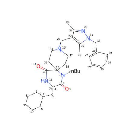 CCCCN1C(=O)[C@H](CC2CCCCC2)NC(=O)C12CCN(Cc1c(C)nn(Cc3ccccc3)c1C)CC2